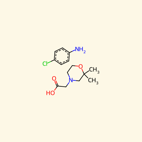 CC1(C)CN(CC(=O)O)CCO1.Nc1ccc(Cl)cc1